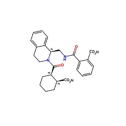 O=C(O)c1ccccc1C(=O)NC[C@@H]1c2ccccc2CCN1C(=O)[C@@H]1CCCC[C@@H]1C(=O)O